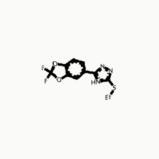 CCSc1nnc(-c2ccc3c(c2)OC(F)(F)O3)[nH]1